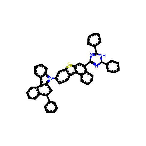 c1ccc(C2=NC(c3cc4sc5cc(-n6c7ccccc7c7c8ccccc8c(-c8ccccc8)cc76)ccc5c4c4ccccc34)=NC(c3ccccc3)N2)cc1